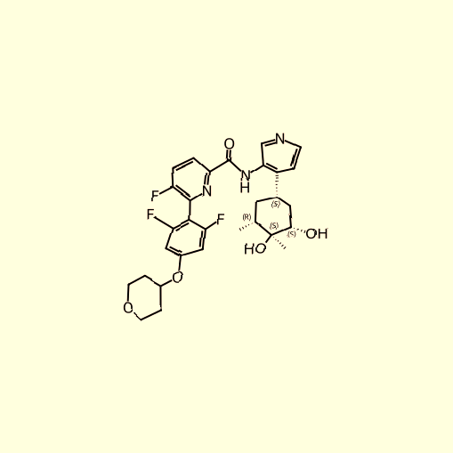 C[C@@H]1C[C@H](c2ccncc2NC(=O)c2ccc(F)c(-c3c(F)cc(OC4CCOCC4)cc3F)n2)C[C@H](O)[C@@]1(C)O